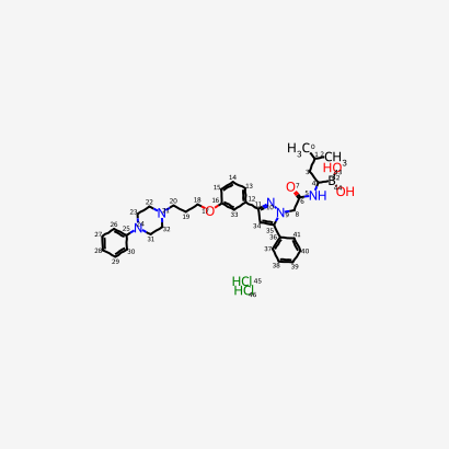 CC(C)CC(NC(=O)Cn1nc(-c2cccc(OCCCN3CCN(c4ccccc4)CC3)c2)cc1-c1ccccc1)B(O)O.Cl.Cl